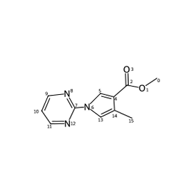 COC(=O)c1cn(-c2ncccn2)cc1C